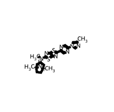 Cc1cn(-c2cnc(-c3nc4sc(N(C)[C@H]5C[C@]6(C)CC[C@](C)(C5)N6)nc4s3)cn2)cn1